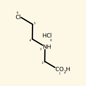 Cl.O=C(O)[CH]NCCCl